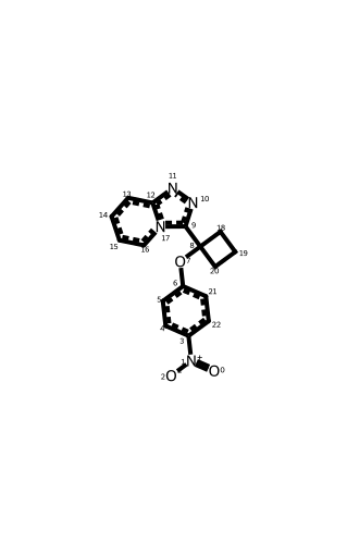 O=[N+]([O-])c1ccc(OC2(c3nnc4ccccn34)CCC2)cc1